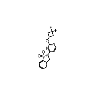 O=S1(=O)c2ccccc2CN1c1ccnc(OC2CC(F)(F)C2)n1